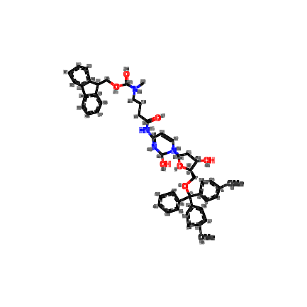 COc1ccc(C(OC[C@H]2O[C@@H](N3C=CC(NC(=O)CCCN(C)C(=O)OCC4c5ccccc5-c5ccccc54)=NC3O)CC2O)(c2ccccc2)c2ccc(OC)cc2)cc1